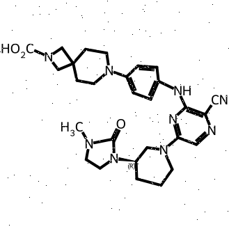 CN1CCN([C@@H]2CCCN(c3cnc(C#N)c(Nc4ccc(N5CCC6(CC5)CN(C(=O)O)C6)cc4)n3)C2)C1=O